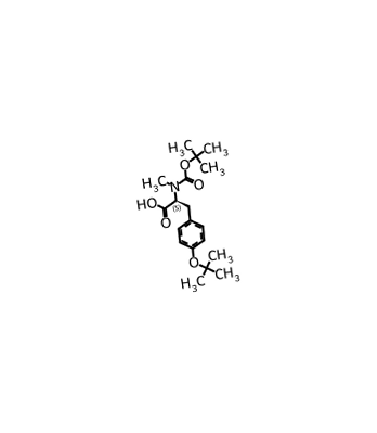 CN(C(=O)OC(C)(C)C)[C@@H](Cc1ccc(OC(C)(C)C)cc1)C(=O)O